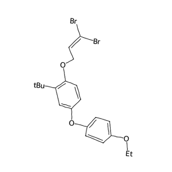 CCOc1ccc(Oc2ccc(OCC=C(Br)Br)c(C(C)(C)C)c2)cc1